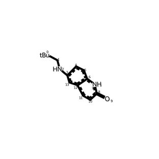 CC(C)(C)CNc1ccc2[nH]c(=O)ccc2c1